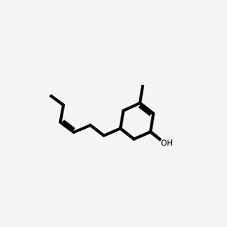 CC/C=C\CCC1CC(C)=CC(O)C1